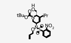 C=CCON([C@@H]1C=C(C(C)C)[C@@H](CO)N(C(=O)OC(C)(C)C)C1)S(=O)(=O)c1ccccc1[N+](=O)[O-]